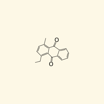 CCc1ccc(C)c2c1C(=O)c1ccccc1C2=O